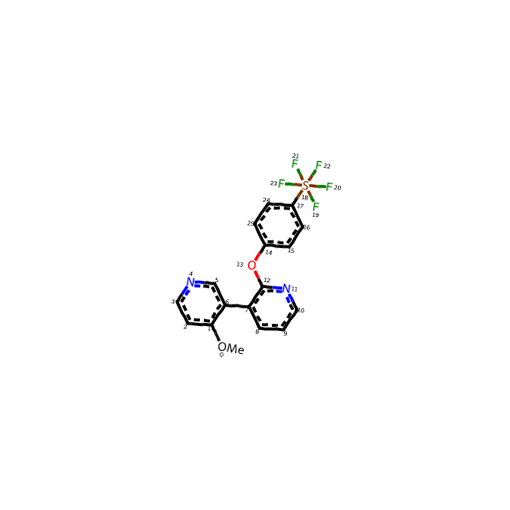 COc1ccncc1-c1cccnc1Oc1ccc(S(F)(F)(F)(F)F)cc1